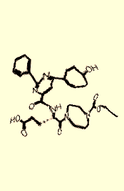 CCOC(=O)N1CCN(C(=O)[C@H](CCC(=O)O)NC(=O)c2cc(C3=CCC(O)CC3)nc(-c3ccccc3)n2)CC1